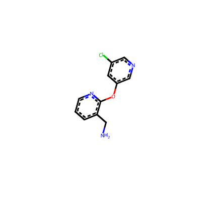 NCc1cccnc1Oc1cncc(Cl)c1